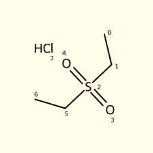 CCS(=O)(=O)CC.Cl